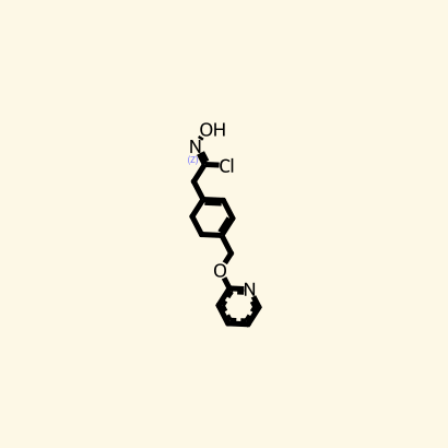 O/N=C(\Cl)CC1=CC=C(COc2ccccn2)CC1